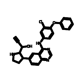 C#CC(O)C1NCCC1c1ccc2ncnc(Nc3ccc(Oc4ccccc4)c(Cl)c3)c2c1